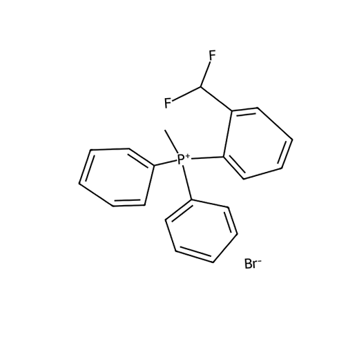 C[P+](c1ccccc1)(c1ccccc1)c1ccccc1C(F)F.[Br-]